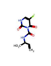 C=CC(NC(=O)n1c(=O)[nH]cc(F)c1=O)C(=O)O